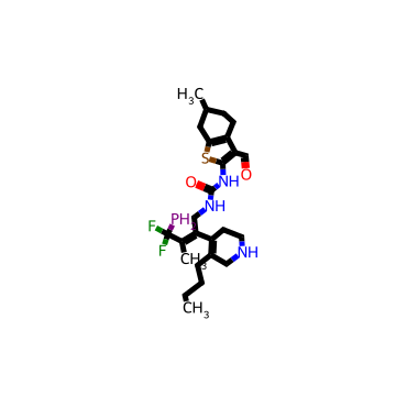 CCCCC1=C(/C(CNC(=O)Nc2sc3c(c2C=O)CCC(C)C3)=C(\C)C(F)(F)P)CCNC1